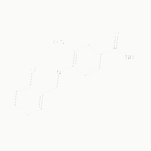 CN(Cc1c(F)cccc1Cl)c1ccc(C(N)=O)cc1[N+](=O)[O-]